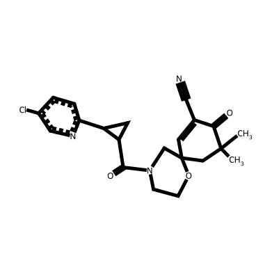 CC1(C)CC2(C=C(C#N)C1=O)CN(C(=O)C1CC1c1ccc(Cl)cn1)CCO2